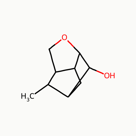 CC1C2CC3C1COC3C2O